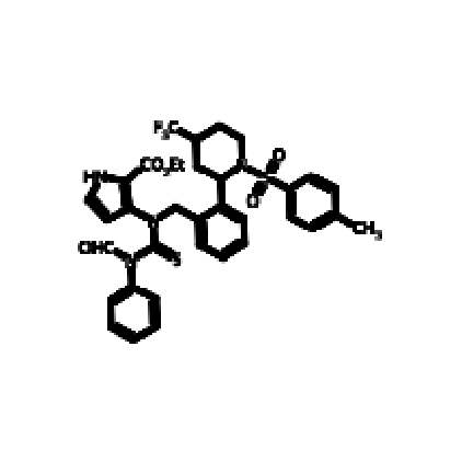 CCOC(=O)c1[nH]ccc1N(Cc1ccccc1C1CC(C(F)(F)F)CCN1S(=O)(=O)c1ccc(C)cc1)C(=S)N(C=O)c1ccccc1